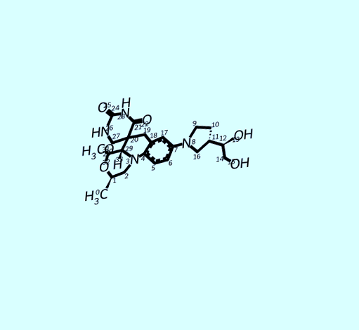 C[C@@H]1CN2c3ccc(N4CC[C@H]([C@@H](O)CO)C4)cc3CC3(C(=O)NC(=O)NC3=O)[C@H]2[C@H](C)O1